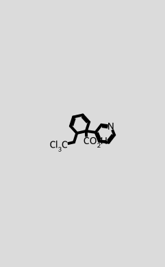 O=C(O)C1(c2cccnc2)C=CC=CC1CC(Cl)(Cl)Cl